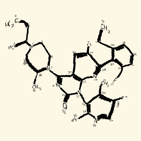 C=CC(=[18O])N1CCN(c2nc(=O)n(-c3c(C(C)C)ncc(F)c3C)c3nc(-c4c(F)cccc4C=C)c(Cl)cc23)[C@@H](C)C1